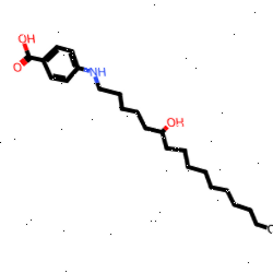 CCCCCCCCCCC(O)CCCCCNc1ccc(C(=O)O)cc1